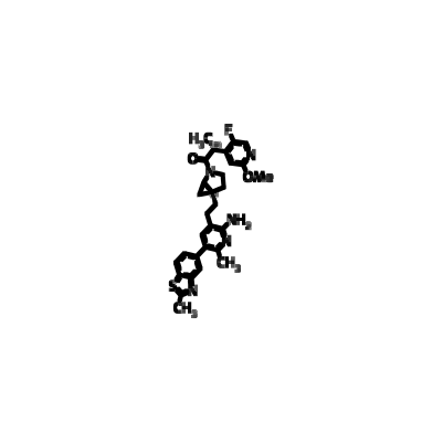 COc1cc([C@@H](C)C(=O)N2CC[C@]3(CCc4cc(-c5ccc6sc(C)nc6c5)c(C)nc4N)CC23)c(F)cn1